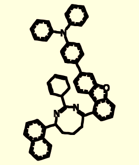 C1=CCC(C2=N/C(c3cccc4ccccc34)CCC/C(c3cccc4oc5cc(-c6ccc(N(c7ccccc7)c7ccccc7)cc6)ccc5c34)=N\2)C=C1